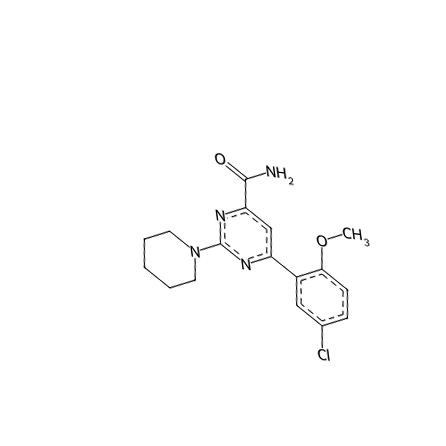 COc1ccc(Cl)cc1-c1cc(C(N)=O)nc(N2CCCCC2)n1